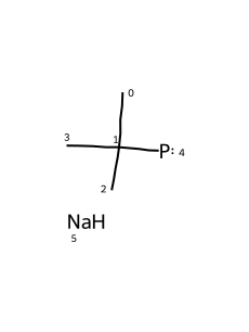 CC(C)(C)[P].[NaH]